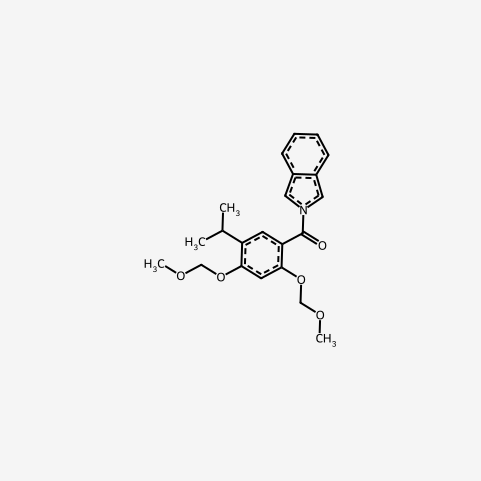 COCOc1cc(OCOC)c(C(C)C)cc1C(=O)n1cc2ccccc2c1